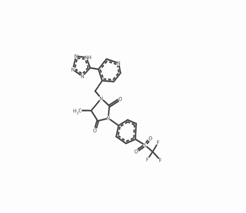 CC1C(=O)N(c2ccc(S(=O)(=O)C(F)(F)F)cc2)C(=O)N1Cc1ccncc1-c1nnn[nH]1